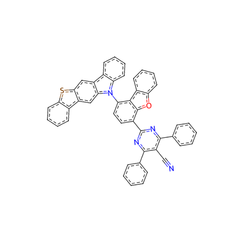 N#Cc1c(-c2ccccc2)nc(-c2ccc(-n3c4ccccc4c4cc5sc6ccccc6c5cc43)c3c2oc2ccccc23)nc1-c1ccccc1